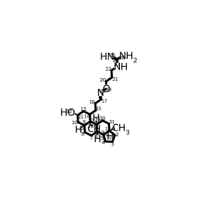 C[C@@]12CCC[C@H]1[C@@H]1CC[C@@H]3C[C@@H](O)CC(CC/C=N/OCCCNC(=N)N)[C@]3(C)[C@H]1CC2